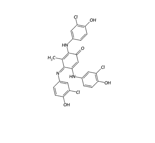 CC1=C(Nc2ccc(O)c(Cl)c2)C(=O)C=C(Nc2ccc(O)c(Cl)c2)/C1=N\c1ccc(O)c(Cl)c1